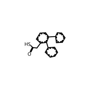 O=C(S)Cc1cccc(-c2ccccc2)c1-c1ccccc1